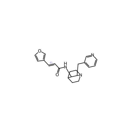 O=C(/C=C/c1ccoc1)NC1C2CCN(CC2)C1Cc1cccnc1